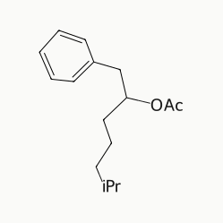 CC(=O)OC(CCCC(C)C)Cc1ccccc1